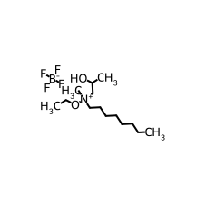 CCCCCCCC[N+](C)(CC(C)O)OCC.F[B-](F)(F)F